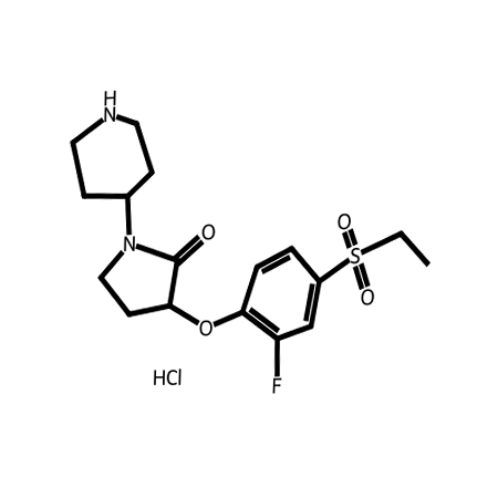 CCS(=O)(=O)c1ccc(OC2CCN(C3CCNCC3)C2=O)c(F)c1.Cl